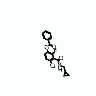 O=C(Oc1ccc(Cl)c(C(=O)NCC2CC2)c1F)c1ccccc1